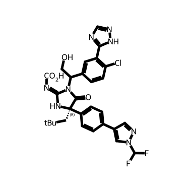 CC(C)(C)C[C@]1(c2ccc(-c3cnn(C(F)F)c3)cc2)NC(=NC(=O)O)N(C(CO)c2ccc(Cl)c(-c3ncn[nH]3)c2)C1=O